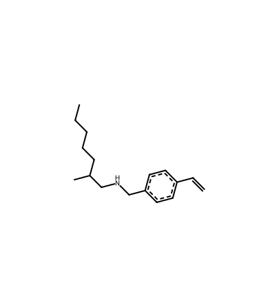 C=Cc1ccc(CNCC(C)CCCCC)cc1